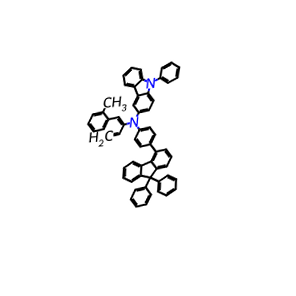 C=C/C(=C\c1ccccc1C)N(c1ccc(-c2cccc3c2-c2ccccc2C3(c2ccccc2)c2ccccc2)cc1)c1ccc2c(c1)c1ccccc1n2-c1ccccc1